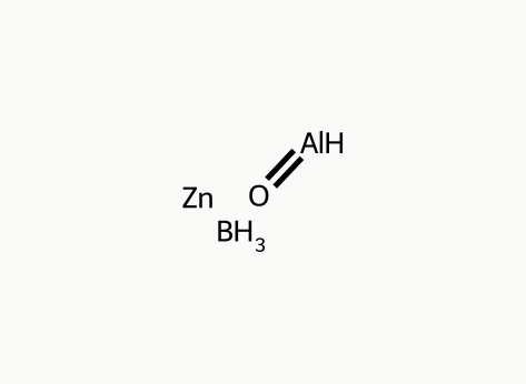 B.[O]=[AlH].[Zn]